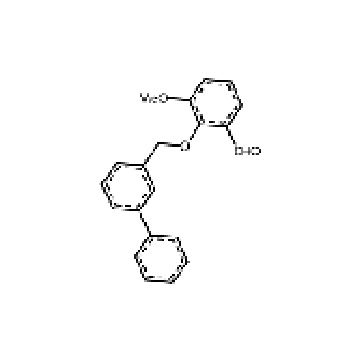 COc1cccc(C=O)c1OCc1cccc(-c2ccccc2)c1